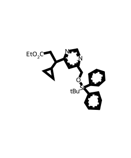 CCOC(=O)CC(c1cc(CO[Si](c2ccccc2)(c2ccccc2)C(C)(C)C)ncn1)C1CC1